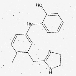 Cc1ccc(Nc2ccccc2O)cc1CC1=NCCN1